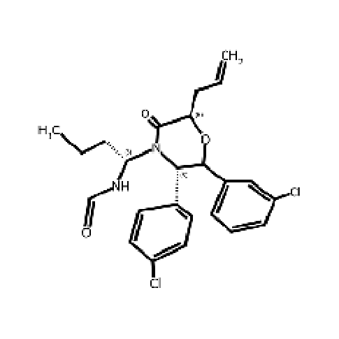 C=CC[C@H]1OC(c2cccc(Cl)c2)[C@H](c2ccc(Cl)cc2)N([C@@H](CCC)NC=O)C1=O